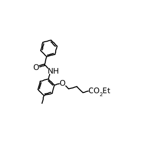 CCOC(=O)CCCOc1cc(C)ccc1NC(=O)c1ccccc1